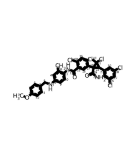 COc1ccc(CNc2ccc(NC(=O)c3cc(C4(C(N)=O)C(c5cc(Cl)cc(Cl)c5)C4(Cl)Cl)ccc3Cl)c(C)c2)cc1